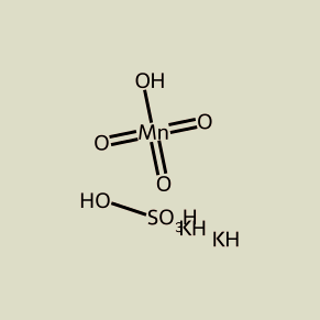 O=S(=O)(O)O.[KH].[KH].[O]=[Mn](=[O])(=[O])[OH]